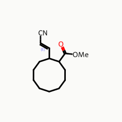 COC(=O)C1CCCCCCCCC1/C=C/C#N